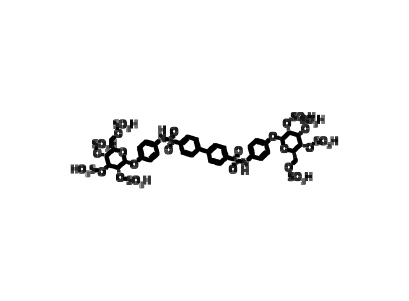 O=S(=O)(O)OC[C@H]1O[C@@H](Oc2ccc(NS(=O)(=O)c3ccc(-c4ccc(S(=O)(=O)Nc5ccc(O[C@@H]6O[C@H](COS(=O)(=O)O)[C@@H](OS(=O)(=O)O)[C@H](OS(=O)(=O)O)[C@H]6OS(=O)(=O)O)cc5)cc4)cc3)cc2)[C@H](OS(=O)(=O)O)[C@@H](OS(=O)(=O)O)[C@@H]1OS(=O)(=O)O